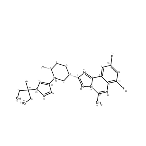 C[C@@H]1CC[C@H](c2nc3c4cc(F)cc(F)c4nc(N)n3n2)CN1c1cnn(C(C)(CO)CO)c1